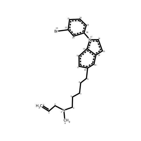 C=CCN(C)CCCCCc1ccc2c(ccn2-c2cccc(Br)c2)c1